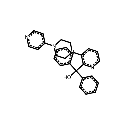 OC(c1ccccc1)(c1ccccc1)c1ncccc1N1CCN(c2ccncc2)CC1